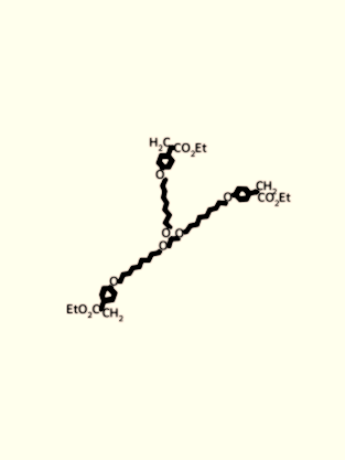 C=C(C(=O)OCC)c1ccc(OCCCCCCCCCOCC(COCCCCCCCCCOc2ccc(C(=C)C(=O)OCC)cc2)OCCCCCCCCCOc2ccc(C(=C)C(=O)OCC)cc2)cc1